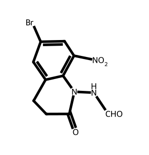 O=CNN1C(=O)CCc2cc(Br)cc([N+](=O)[O-])c21